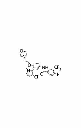 Cn1ncc(Cl)c1-c1cc(NC(=O)c2ccc(F)c(C(F)(F)F)c2)ccc1OCCN1CCOCC1